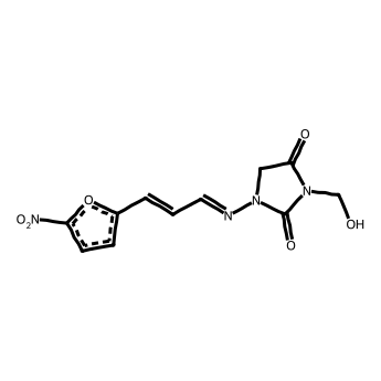 O=C1CN(N=CC=Cc2ccc([N+](=O)[O-])o2)C(=O)N1CO